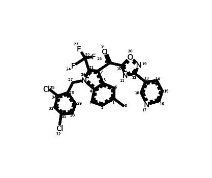 Cc1ccc2c(c1)c(C(=O)c1nc(-c3cccnc3)no1)c(C(F)(F)F)n2Cc1ccc(Cl)cc1Cl